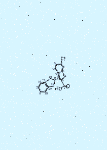 O=C(O)c1cc2cc(Cl)ccc2n1C1Cc2ccccc2C1